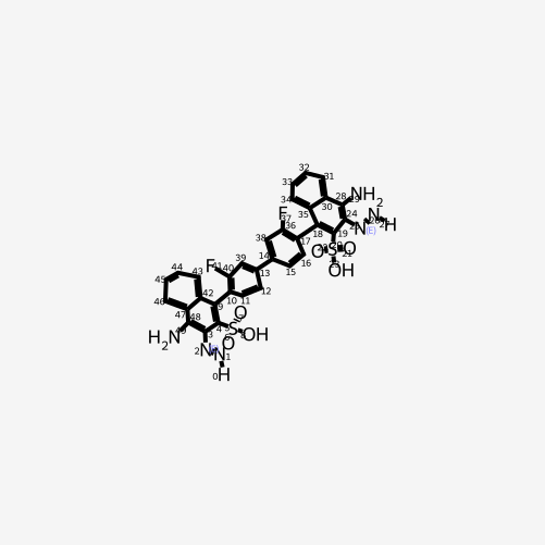 [H]/N=N/c1c(S(=O)(=O)O)c(-c2ccc(-c3ccc(-c4c(S(=O)(=O)O)c(/N=N/[H])c(N)c5ccccc45)c(F)c3)cc2F)c2ccccc2c1N